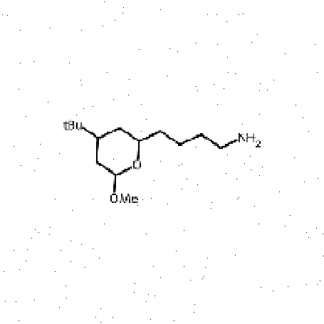 COC1CC(C(C)(C)C)CC(CCCCN)O1